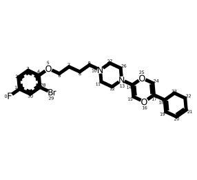 Fc1ccc(OCCCCN2CCN(C3=COC(C4=CC=CCC4)=CO3)CC2)c(Br)c1